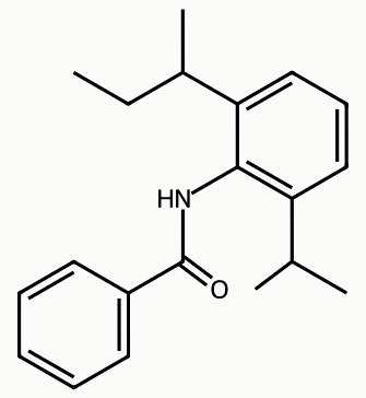 CCC(C)c1cccc(C(C)C)c1NC(=O)c1ccccc1